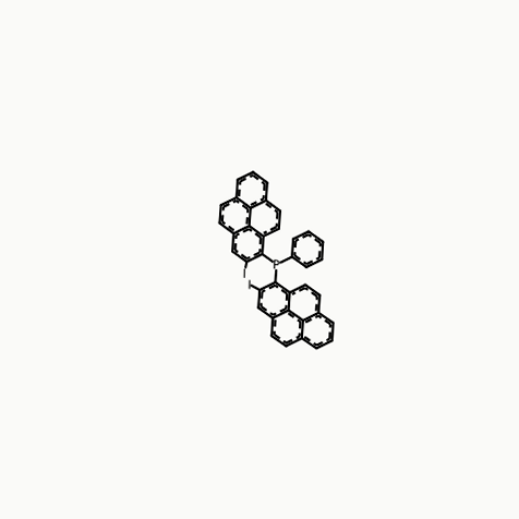 Ic1cc2ccc3cccc4ccc(c1P(c1ccccc1)c1c(I)cc5ccc6cccc7ccc1c5c67)c2c34